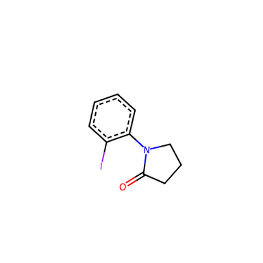 O=C1CCCN1c1ccccc1I